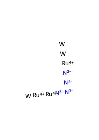 [N-3].[N-3].[N-3].[N-3].[Ru+4].[Ru+4].[Ru+4].[W].[W].[W]